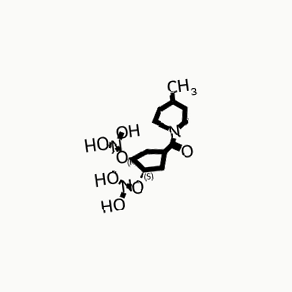 CC1CCN(C(=O)C2C[C@H](ON(O)O)[C@H](ON(O)O)C2)CC1